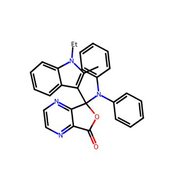 CCn1c(C)c(C2(N(c3ccccc3)c3ccccc3)OC(=O)c3nccnc32)c2ccccc21